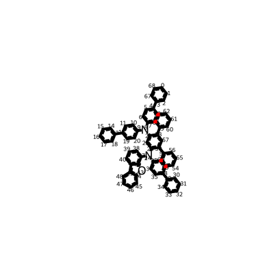 c1ccc(-c2ccc(N(c3ccc(-c4ccccc4)cc3)c3cc(N(c4ccc(-c5ccccc5)cc4)c4cccc5c4oc4ccccc45)c(-c4ccccc4)cc3-c3ccccc3)cc2)cc1